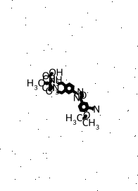 CC(C)Oc1ccc(-c2nc(-c3ccc4c(c3)CCN(C(=O)C(NC(=O)O)C(C)(C)C)CC4)no2)cc1C#N